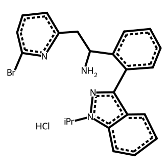 CC(C)n1nc(-c2ccccc2C(N)Cc2cccc(Br)n2)c2ccccc21.Cl